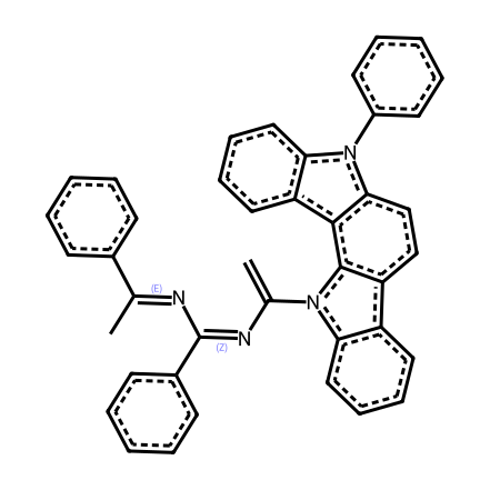 C=C(/N=C(\N=C(/C)c1ccccc1)c1ccccc1)n1c2ccccc2c2ccc3c(c4ccccc4n3-c3ccccc3)c21